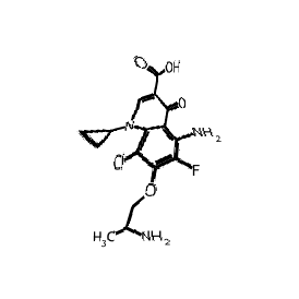 CC(N)COc1c(F)c(N)c2c(=O)c(C(=O)O)cn(C3CC3)c2c1Cl